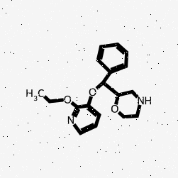 CCOc1ncccc1OC(c1ccccc1)C1CNCCO1